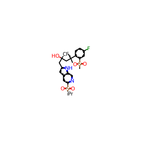 CC(C)S(=O)(=O)c1cc2cc(CC(O)(CC(C)(C)c3ccc(F)cc3S(C)(=O)=O)C(F)(F)F)[nH]c2cn1